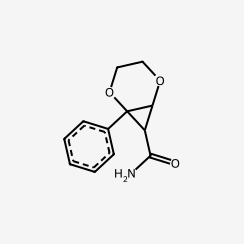 NC(=O)C1C2OCCOC21c1ccccc1